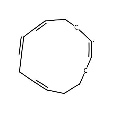 [C]1=CCCCC=CCC=CC=CCC1